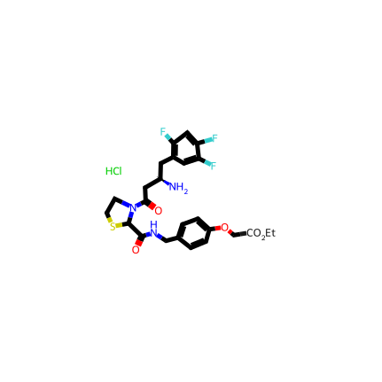 CCOC(=O)COc1ccc(CNC(=O)C2SCCN2C(=O)C[C@H](N)Cc2cc(F)c(F)cc2F)cc1.Cl